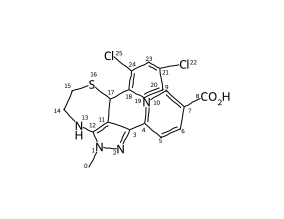 Cn1nc(-c2ccc(C(=O)O)cn2)c2c1NCCSC2c1ccc(Cl)cc1Cl